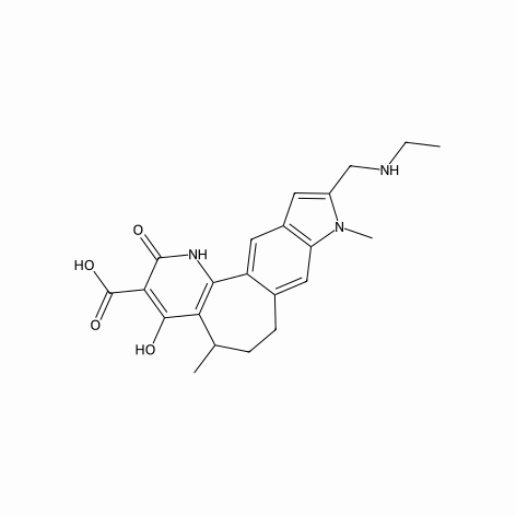 CCNCc1cc2cc3c(cc2n1C)CCC(C)c1c-3[nH]c(=O)c(C(=O)O)c1O